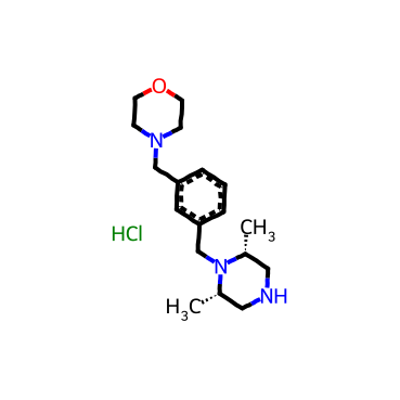 C[C@@H]1CNC[C@H](C)N1Cc1cccc(CN2CCOCC2)c1.Cl